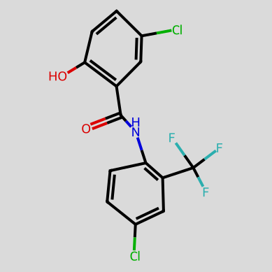 O=C(Nc1ccc(Cl)cc1C(F)(F)F)c1cc(Cl)ccc1O